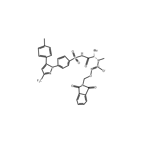 CC[C@@H](C)[C@@H](C(=O)NS(=O)(=O)c1ccc(-n2nc(C(F)(F)F)cc2-c2ccc(C)cc2)cc1)N(C)[N+]([O-])=NOCN1C(=O)c2ccccc2C1=O